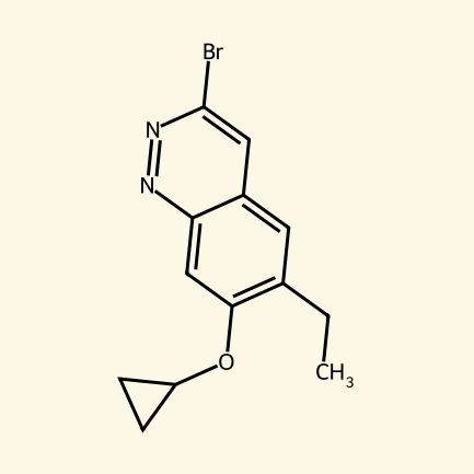 CCc1cc2cc(Br)nnc2cc1OC1CC1